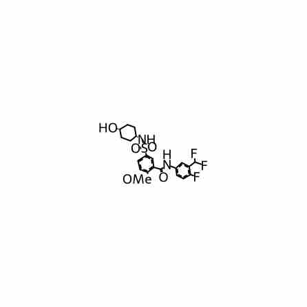 COc1ccc(S(=O)(=O)N[C@H]2CC[C@@H](O)CC2)cc1C(=O)Nc1ccc(F)c(C(F)F)c1